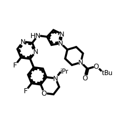 CC(C)N1CCOc2c(F)cc(-c3nc(Nc4cnn(C5CCN(C(=O)OC(C)(C)C)CC5)c4)ncc3F)cc21